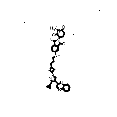 CN1C(=O)CCC(N2C(=O)c3ccc(NCCCC4CC(n5cc(-c6cnc7ccccc7n6)c(C6CC6)n5)C4)cc3C2=O)C1=O